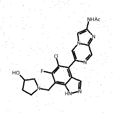 CC(=O)Nc1cn2cc(-c3c(Cl)c(F)c(CN4CCC(O)C4)c4[nH]ncc34)ncc2n1